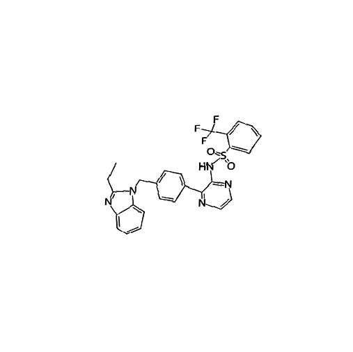 CCc1nc2ccccc2n1Cc1ccc(-c2nccnc2NS(=O)(=O)c2ccccc2C(F)(F)F)cc1